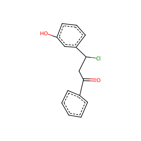 O=C(CC(Cl)c1cccc(O)c1)c1ccccc1